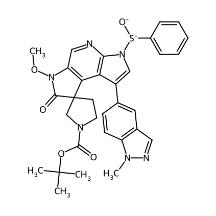 CON1C(=O)C2(CCN(C(=O)OC(C)(C)C)C2)c2c1cnc1c2c(-c2ccc3c(cnn3C)c2)cn1[S+]([O-])c1ccccc1